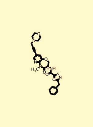 CN1C(=O)[C@@H](NC(=O)c2nnc(CC3=CCCC=C3)o2)COc2cc(C#CCN3CCOCC3)cnc21